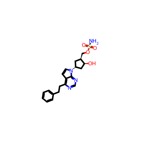 NS(=O)(=O)OC[C@@H]1C[C@@H](n2ccc3c(CCc4ccccc4)ncnc32)C[C@@H]1O